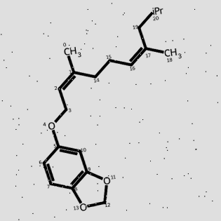 CC(=CCOc1ccc2c(c1)OCO2)CCC=C(C)CC(C)C